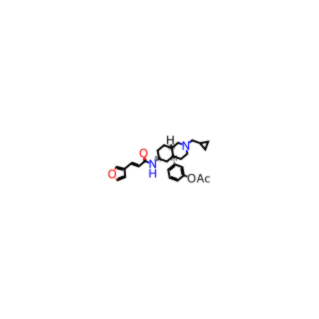 CC(=O)Oc1cccc([C@@]23CCN(CC4CC4)C[C@H]2CC[C@@H](NC(=O)C=Cc2ccoc2)C3)c1